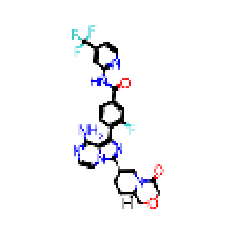 Nc1nccn2c([C@@H]3CC[C@H]4COCC(=O)N4C3)nc(-c3ccc(C(=O)Nc4cc(C(F)(F)F)ccn4)cc3F)c12